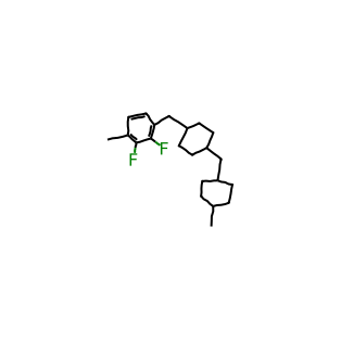 Cc1ccc(CC2CCC(CC3CCC(C)CC3)CC2)c(F)c1F